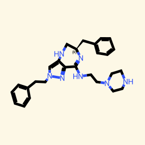 c1ccc(CCn2cc3c(n2)C(NCCN2CCNCC2)=N[C@H](Cc2ccccc2)CN3)cc1